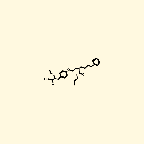 CCCOC(=O)N(CCCCc1ccccc1)CCOc1ccc(CC(OCC)C(=O)O)cc1